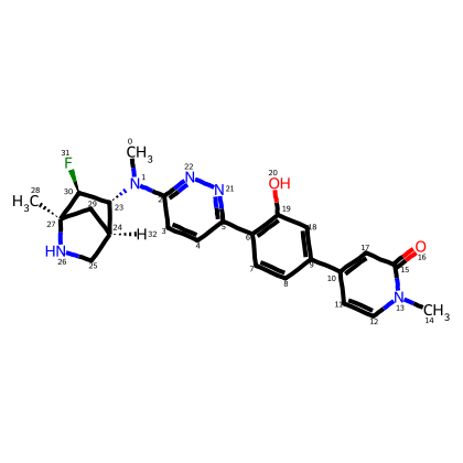 CN(c1ccc(-c2ccc(-c3ccn(C)c(=O)c3)cc2O)nn1)[C@@H]1[C@H]2CN[C@](C)(C2)[C@H]1F